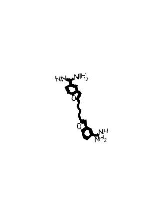 N=C(N)c1ccc2oc(CCCCc3cc4cc(C(=N)N)ccc4o3)cc2c1